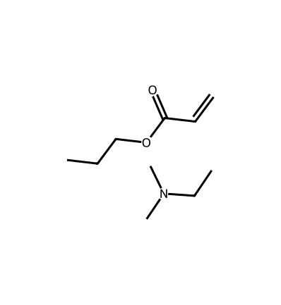 C=CC(=O)OCCC.CCN(C)C